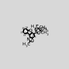 Cc1nc2c(cc(B3OC(C)(C)C(C)(C)O3)c3oc4ccccc4c32)o1